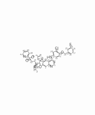 COc1cc2ncnc(Nc3ccc(OCc4cccc(F)c4)c(Cl)c3)c2cc1C1(CN(C)CCS(=O)(=O)c2ccccn2)CC=CO1